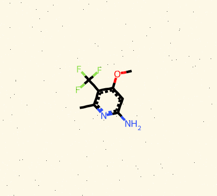 COc1cc(N)nc(C)c1C(F)(F)F